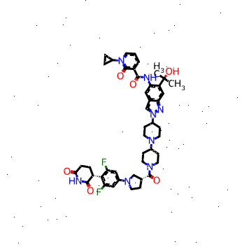 CC(C)(O)c1cc2nn(C3CCN(C4CCN(C(=O)[C@@H]5CCN(c6cc(F)c([C@H]7CCC(=O)NC7=O)c(F)c6)C5)CC4)CC3)cc2cc1NC(=O)c1cccn(C2CC2)c1=O